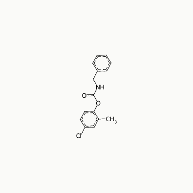 Cc1cc(Cl)ccc1OC(=O)NCc1ccccc1